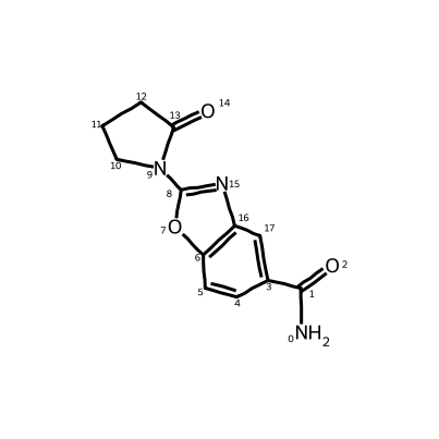 NC(=O)c1ccc2oc(N3CCCC3=O)nc2c1